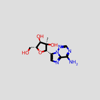 C[C@@]1(O)[C@H](O)[C@@H](CO)O[C@H]1c1cnc2c(N)ncnn12